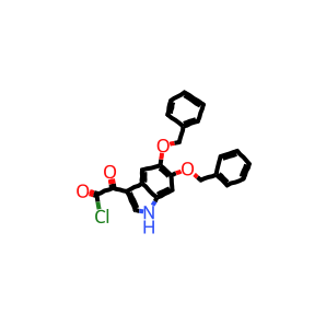 O=C(Cl)C(=O)c1c[nH]c2cc(OCc3ccccc3)c(OCc3ccccc3)cc12